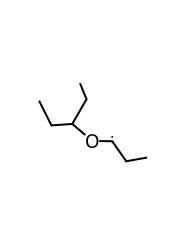 CC[CH]OC(CC)CC